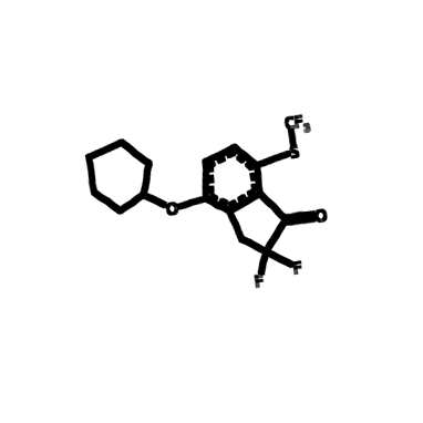 O=C1c2c(SC(F)(F)F)ccc(OC3CCCCC3)c2CC1(F)F